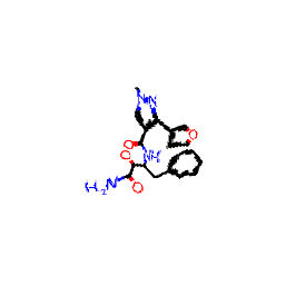 Cn1cc(C(=O)NC(Cc2ccccc2)C(=O)C(N)=O)c(-c2ccoc2)n1